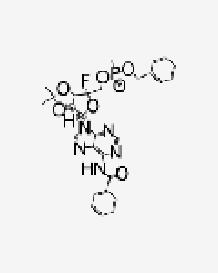 CC1(C)OC2[C@H](O1)[C@H](n1cnc3c(NC(=O)c4ccccc4)ncnc31)OC2(F)COP(C)(=O)OCc1ccccc1